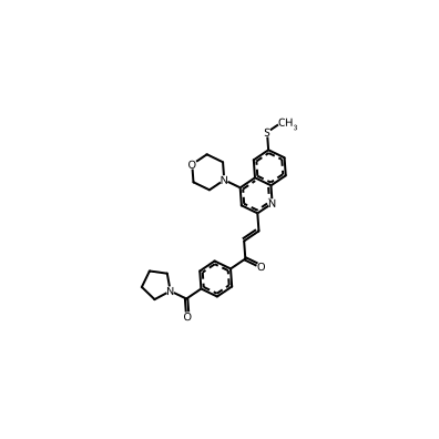 CSc1ccc2nc(C=CC(=O)c3ccc(C(=O)N4CCCC4)cc3)cc(N3CCOCC3)c2c1